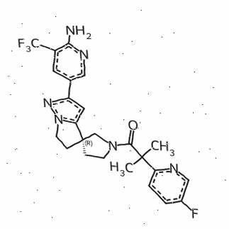 CC(C)(C(=O)N1CC[C@@]2(CCn3nc(-c4cnc(N)c(C(F)(F)F)c4)cc32)C1)c1ccc(F)cn1